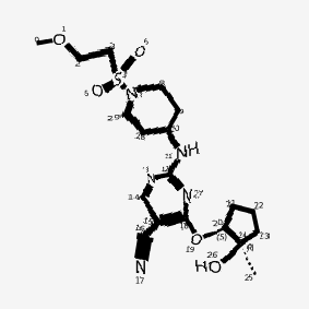 COCCS(=O)(=O)N1CCC(Nc2ncc(C#N)c(O[C@H]3CCC[C@@]3(C)O)n2)CC1